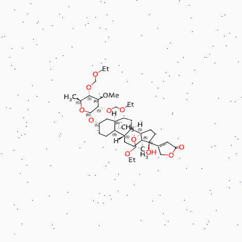 CCOCO[C@@H]1[C@H](O[C@H]2CC[C@@]3(C)[C@H](CC[C@@H]4[C@@H]3CC[C@@]3(C)[C@]4(OCOCC)CC[C@]3(O)C3=CC(=O)OC3)C2)O[C@@H](C)[C@H](OCOCC)[C@H]1OC